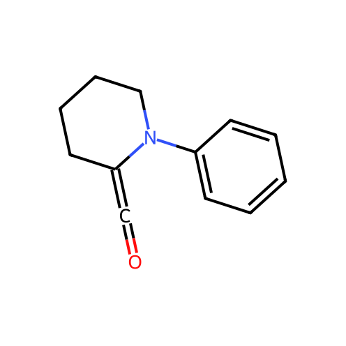 O=C=C1CCCCN1c1ccccc1